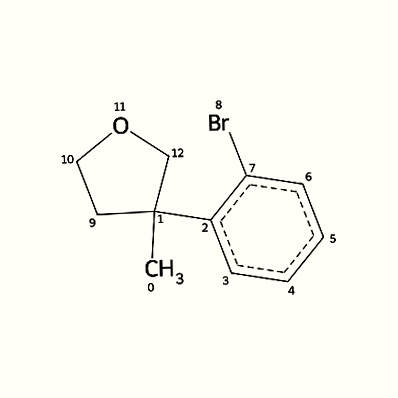 CC1(c2ccccc2Br)CCOC1